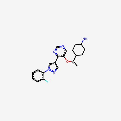 C[C@@H](Oc1cncnc1-c1cnn(-c2ccccc2F)c1)C1CCC(N)CC1